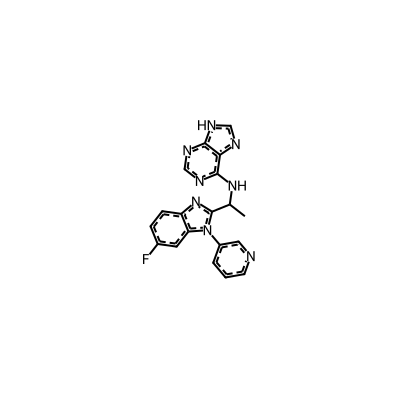 CC(Nc1ncnc2[nH]cnc12)c1nc2ccc(F)cc2n1-c1cccnc1